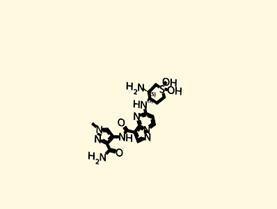 Cn1cc(NC(=O)c2cnn3ccc(N[C@H]4CCS(O)(O)C[C@H]4N)nc23)c(C(N)=O)n1